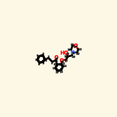 O=C(CCc1ccccc1)c1ccccc1OCC(O)CN1CCOCC1